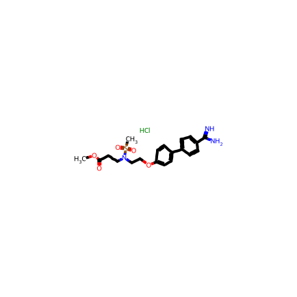 COC(=O)CCN(CCOc1ccc(-c2ccc(C(=N)N)cc2)cc1)S(C)(=O)=O.Cl